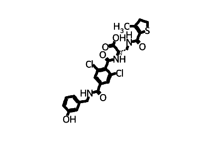 CC1=C(C(=O)NC[C@H](NC(=O)c2c(Cl)cc(C(=O)NCc3cccc(O)c3)cc2Cl)C(=O)O)SCC1